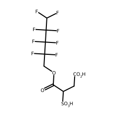 O=C(O)CC(C(=O)OCC(F)(F)C(F)(F)C(F)(F)C(F)F)S(=O)(=O)O